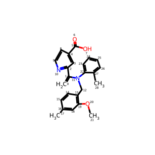 C=C(c1cc(C(=O)O)ccn1)N(Cc1ccc(C)cc1OC)c1ccccc1C